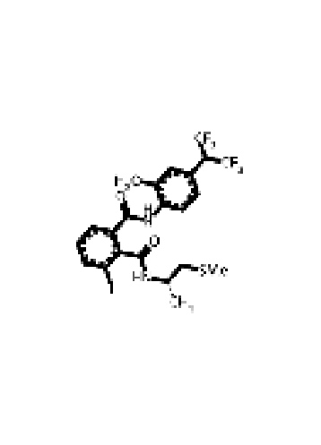 CSC[C@H](C)NC(=O)c1c(I)cccc1C(=O)Nc1ccc(C(C(F)(F)F)C(F)(F)F)cc1C